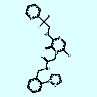 O=C(Cn1c(Cl)cnc(NCC(F)(F)c2ccccn2)c1=O)NCc1ccccc1-n1cccn1